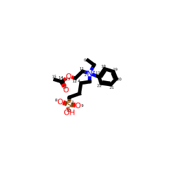 CC[N+](CCCCS(=O)(=O)O)(CCOC(C)=O)c1ccccc1